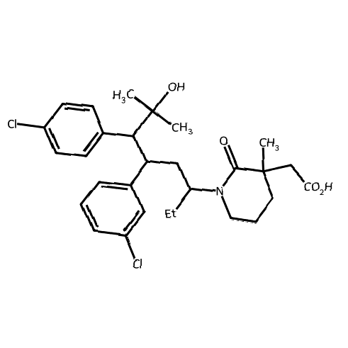 CCC(CC(c1cccc(Cl)c1)C(c1ccc(Cl)cc1)C(C)(C)O)N1CCCC(C)(CC(=O)O)C1=O